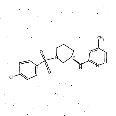 Cc1ccnc(N[C@@H]2CCCN(S(=O)(=O)c3ccc(Cl)cc3)C2)n1